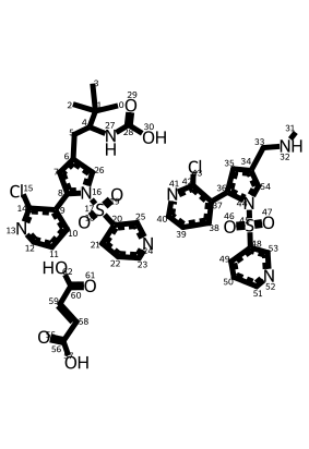 CC(C)(C)C(Cc1cc(-c2cccnc2Cl)n(S(=O)(=O)c2cccnc2)c1)NC(=O)O.CNCc1cc(-c2cccnc2Cl)n(S(=O)(=O)c2cccnc2)c1.O=C(O)C=CC(=O)O